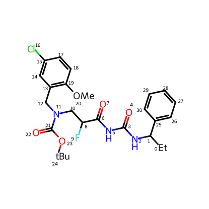 CCC(NC(=O)NC(=O)C(F)CN(Cc1cc(Cl)ccc1OC)C(=O)OC(C)(C)C)c1ccccc1